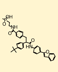 CC(C)(C)c1ccc(C(Cc2ccc(C(=O)NCCP(C)(=O)O)cc2)C(=O)Nc2ccc(-c3cc4ccccc4o3)cc2)cc1